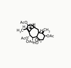 C=C1[C@@H](OC(C)=O)C[C@H](O)[C@]2(C)[C@@H]1C[C@@H]1C[C@H](OC(C)=O)C(C)=C([C@@H](OC(C)=O)[C@@H]2OC(C)=O)C1(C)C